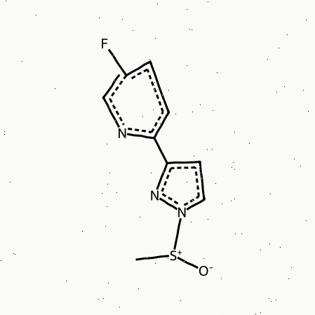 C[S+]([O-])n1ccc(-c2ccc(F)cn2)n1